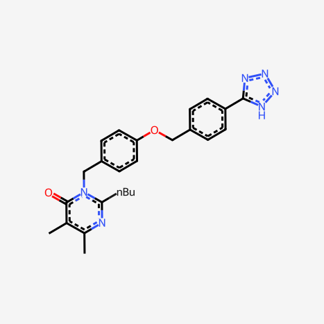 CCCCc1nc(C)c(C)c(=O)n1Cc1ccc(OCc2ccc(-c3nnn[nH]3)cc2)cc1